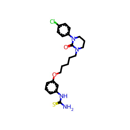 NC(=S)Nc1cccc(OCCCCCN2CCCN(c3ccc(Cl)cc3)C2=O)c1